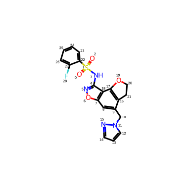 O=S(=O)(Nc1noc2cc(Cn3cccn3)c3c(c12)OCC3)c1ccccc1F